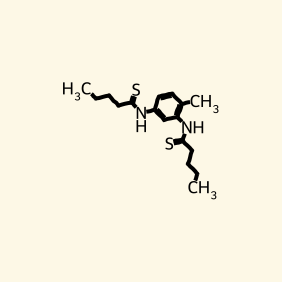 CCCCC(=S)Nc1ccc(C)c(NC(=S)CCCC)c1